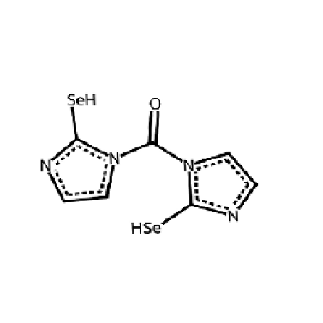 O=C(n1ccnc1[SeH])n1ccnc1[SeH]